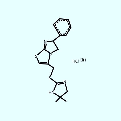 CC1(C)CN=C(SCC2=CSC3=NC(c4ccccc4)CN23)N1.Cl.Cl